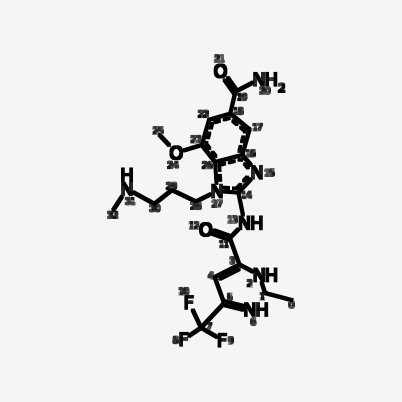 CCN/C(=C\C(=N)C(F)(F)F)C(=O)Nc1nc2cc(C(N)=O)cc(OC)c2n1CCCNC